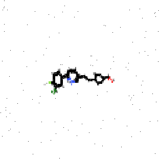 O=CC1CCC(CCc2ccc(-c3ccc(F)c(Cl)c3)nc2)CC1